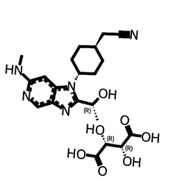 CNc1cc2c(cn1)nc([C@@H](C)O)n2[C@H]1CC[C@H](CC#N)CC1.O=C(O)[C@H](O)[C@@H](O)C(=O)O